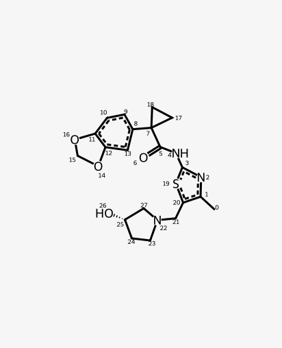 Cc1nc(NC(=O)C2(c3ccc4c(c3)OCO4)CC2)sc1CN1CC[C@H](O)C1